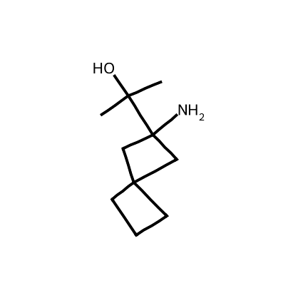 CC(C)(O)C1(N)CC2(CCC2)C1